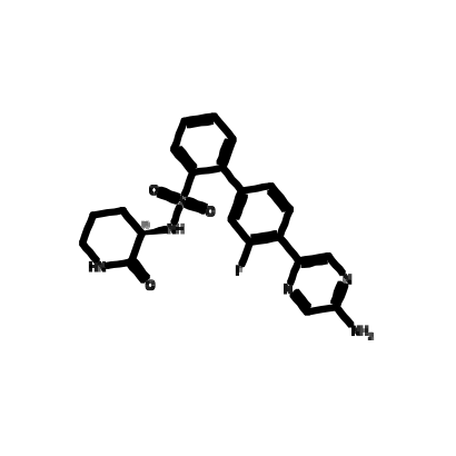 Nc1cnc(-c2ccc(-c3ccccc3S(=O)(=O)N[C@@H]3CCCNC3=O)cc2F)cn1